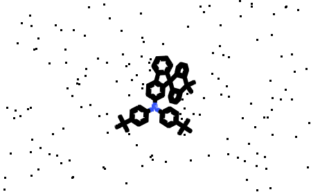 CC(C)(C)c1ccc(N(c2ccc(C(C)(C)C)cc2)c2ccc3c(c2)C2(c4ccccc4-3)c3ccccc3C(C)(C)c3ccccc32)cc1